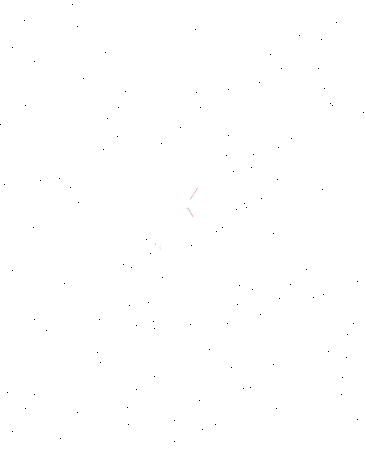 O.O.O.[Na+].[O-][Cl+][O-]